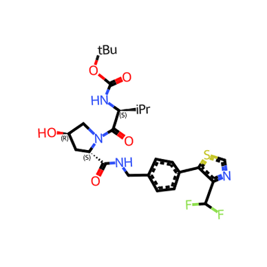 CC(C)[C@H](NC(=O)OC(C)(C)C)C(=O)N1C[C@H](O)C[C@H]1C(=O)NCc1ccc(-c2scnc2C(F)F)cc1